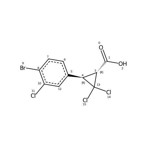 O=C(O)[C@H]1[C@H](c2ccc(Br)c(Cl)c2)C1(Cl)Cl